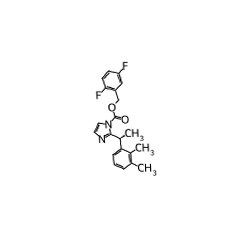 Cc1cccc([C@H](C)c2nccn2C(=O)OCc2cc(F)ccc2F)c1C